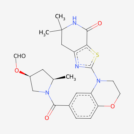 C[C@@H]1C[C@H](OC=O)CN1C(=O)c1ccc2c(c1)N(c1nc3c(s1)C(=O)NC(C)(C)C3)CCO2